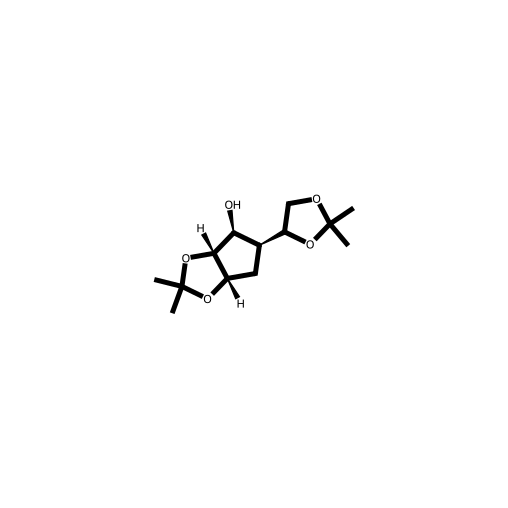 CC1(C)OCC([C@H]2C[C@@H]3OC(C)(C)O[C@@H]3[C@H]2O)O1